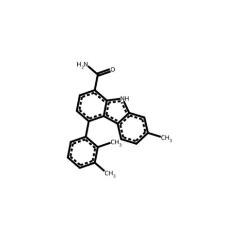 Cc1ccc2c(c1)[nH]c1c(C(N)=O)ccc(-c3cccc(C)c3C)c12